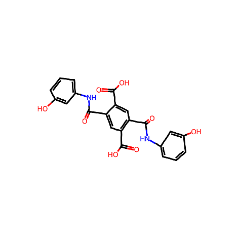 O=C(O)c1cc(C(=O)Nc2cccc(O)c2)c(C(=O)O)cc1C(=O)Nc1cccc(O)c1